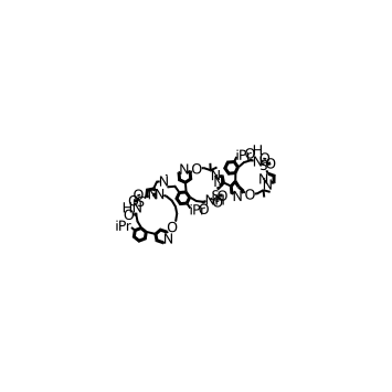 CC(C)c1cccc2c1CC(=O)NS(=O)(=O)c1cc(CN(C)CCc3ccc(C(C)C)c4c3-c3ccnc(c3)OCC(C)(C)n3cc(-c5cnc6cc5-c5cccc(C(C)C)c5CC(=O)NS(=O)(=O)c5ccn(n5)C(C)(C)CO6)c(n3)S(=O)(=O)NC(=O)C4)n(n1)CCCCCOc1cc-2ccn1